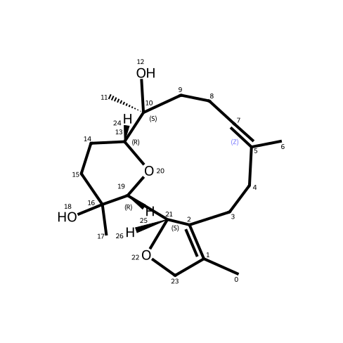 CC1=C2CC/C(C)=C\CC[C@](C)(O)[C@H]3CCC(C)(O)[C@H](O3)[C@H]2OC1